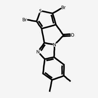 Cc1cc2nc3n(c2cc1C)C(=O)c1c(Br)sc(Br)c1-3